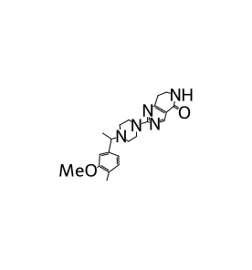 COc1cc(C(C)N2CCN(c3ncc4c(n3)CCNC4=O)CC2)ccc1C